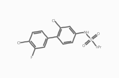 CCCS(=O)(=O)Nc1ccc(-c2ccc(Cl)c(F)c2)c(Cl)c1